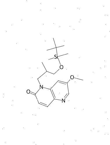 COc1cnc2ccc(=O)n(CC(C)CO[Si](C)(C)C(C)(C)C)c2c1